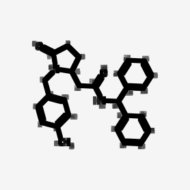 Cc1ccc(CN2C(=O)CCC2CC(=O)NC(c2ccccc2)c2ccccc2)cc1